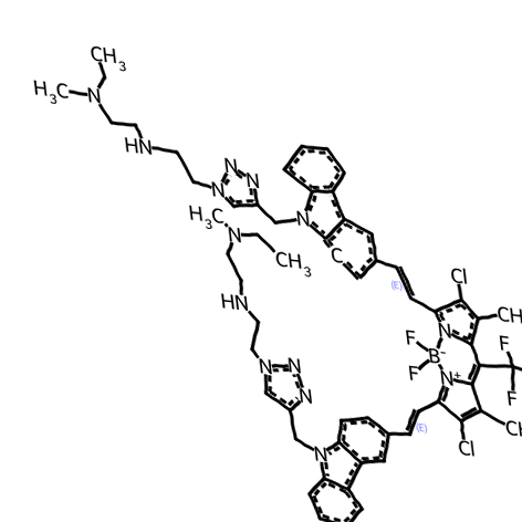 CCN(C)CCNCCn1cc(Cn2c3ccccc3c3cc(/C=C/C4=[N+]5C(=C(C(F)(F)F)c6c(C)c(Cl)c(/C=C/c7ccc8c(c7)c7ccccc7n8Cc7cn(CCNCCN(C)CC)nn7)n6[B-]5(F)F)C(C)=C4Cl)ccc32)nn1